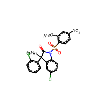 COc1cc([N+](=O)[O-])ccc1S(=O)(=O)N1C(=O)C(NC(C)=O)(c2ccccc2Cl)c2cc(Cl)ccc21